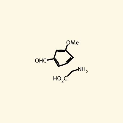 COc1cccc(C=O)c1.NCC(=O)O